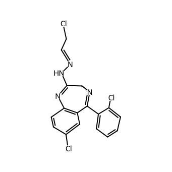 ClC/C=N/NC1=Nc2ccc(Cl)cc2C(c2ccccc2Cl)=NC1